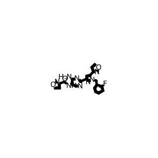 Nc1nc(-c2cc(-c3ccon3)n(Cc3ccccc3F)n2)ncc1NC(=O)c1ccon1